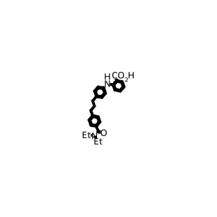 CCN(CC)C(=O)c1ccc(CCCc2ccc(Nc3ccccc3C(=O)O)cc2)cc1